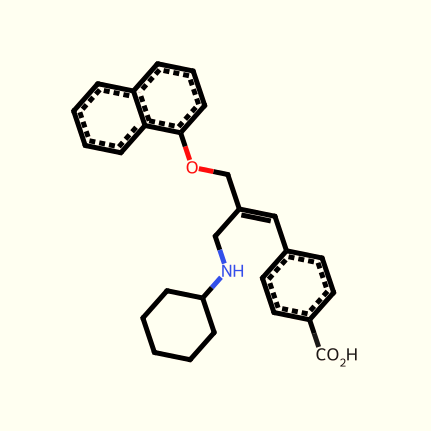 O=C(O)c1ccc(C=C(CNC2CCCCC2)COc2cccc3ccccc23)cc1